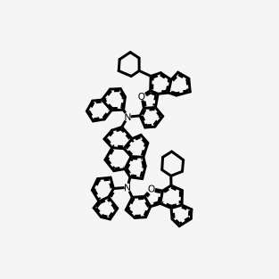 c1ccc2c(N(c3ccc4ccc5c(N(c6cccc7ccccc67)c6cccc7c6oc6c(C8CCCCC8)cc8ccccc8c67)ccc6ccc3c4c65)c3cccc4c3oc3c(C5CCCCC5)cc5ccccc5c34)cccc2c1